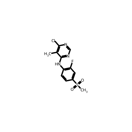 Cc1c(Cl)ncnc1Nc1ccc(S(C)(=O)=O)cc1F